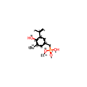 C=C(C)c1cc(CP(=O)(O)OCC)cc(C(C)(C)C)c1O